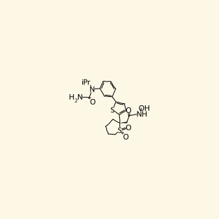 CC(C)N(C(N)=O)c1cccc(-c2ccc([C@@]3(CC(=O)NO)CCCCS3(=O)=O)s2)c1